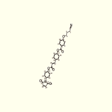 N#CCCCOc1ccc(C(=O)Oc2ccc(C=CC(=O)Oc3ccc(N4C(=O)C=CC4=O)cc3)cc2)cc1